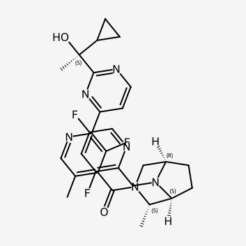 Cc1cnc(-c2ccnc([C@@](C)(O)C3CC3)n2)c(F)c1C(=O)N1C[C@H]2CC[C@@H]([C@@H]1C)N2Cc1ncc(F)cc1F